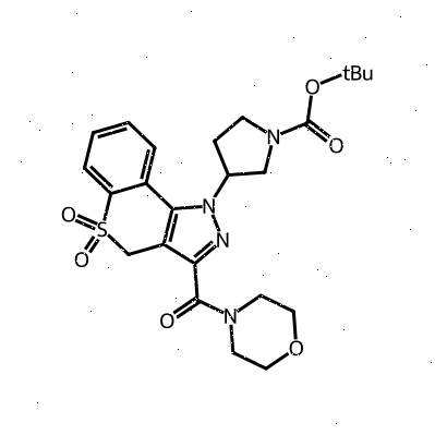 CC(C)(C)OC(=O)N1CCC(n2nc(C(=O)N3CCOCC3)c3c2-c2ccccc2S(=O)(=O)C3)C1